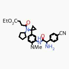 CCOC(=O)CCC(=O)N(C1CCCC1)C1(c2ccc(NC)c(NC(=O)C(N)c3ccc(C#N)cc3)c2)CC1